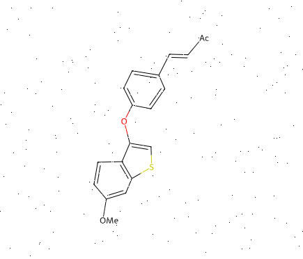 COc1ccc2c(Oc3ccc(C=CC(C)=O)cc3)csc2c1